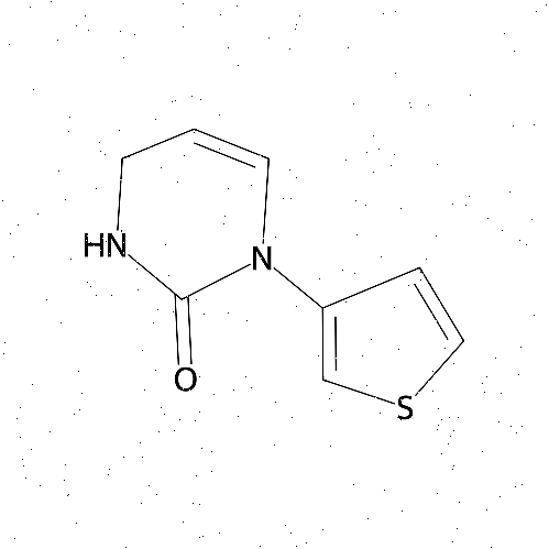 O=C1NCC=CN1c1ccsc1